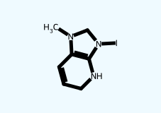 CN1CN(I)C2=C1C=CCN2